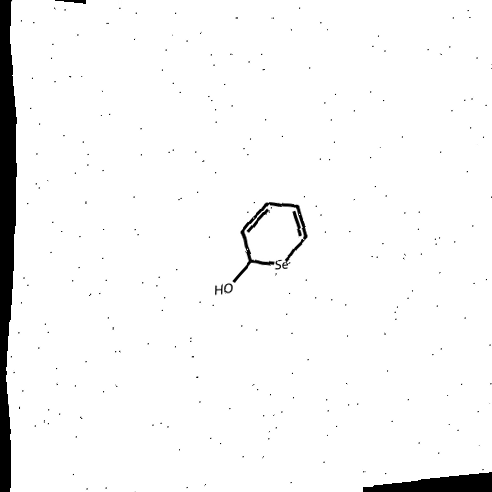 OC1C=CC=C[Se]1